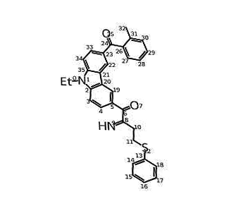 CCn1c2ccc(C(=O)C(=N)CCSc3ccccc3)cc2c2cc(C(=O)c3ccccc3C)ccc21